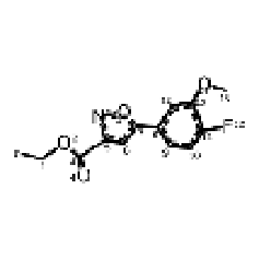 CCOC(=O)c1cc(-c2ccc(F)c(OC)c2)on1